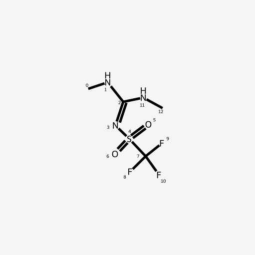 CNC(=NS(=O)(=O)C(F)(F)F)NC